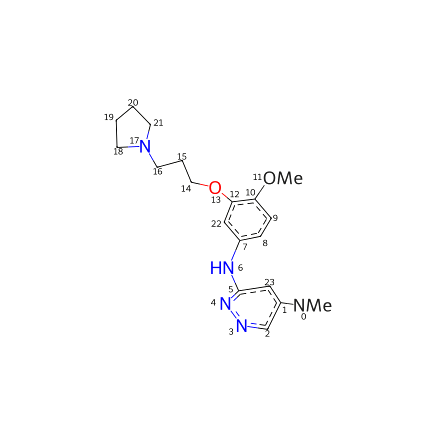 CNc1cnnc(Nc2ccc(OC)c(OCCCN3CCCC3)c2)c1